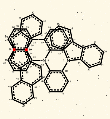 c1ccc(N(c2ccccc2-n2c3ccccc3c3ccccc32)c2cccc3sc4ccccc4c23)c(-c2cccc3oc4c5ccccc5ccc4c23)c1